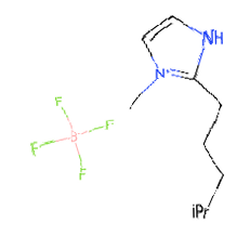 CC(C)CCCc1[nH]cc[n+]1C.F[B-](F)(F)F